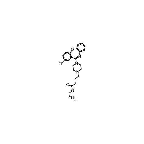 CCOC(=O)CCCN1CCN(C2=Nc3ccccc3Oc3ccc(Cl)cc32)CC1